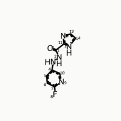 O=C(NNc1ccc(F)nc1)c1ncc[nH]1